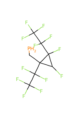 FC1C(F)(C(F)(F)C(F)(F)F)C1(CP)C(F)(F)C(F)(F)F